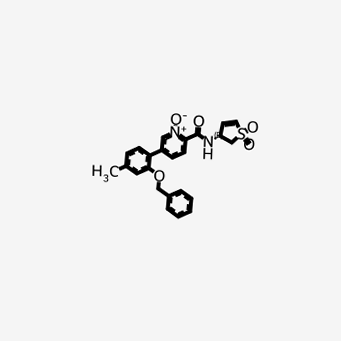 Cc1ccc(-c2ccc(C(=O)N[C@@H]3C=CS(=O)(=O)C3)[n+]([O-])c2)c(OCc2ccccc2)c1